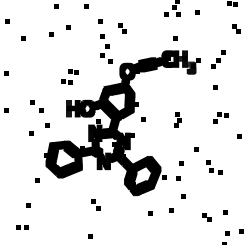 CC#COc1ccc(-c2nc(-c3ccccc3)nc(-c3ccccc3)n2)c(O)c1